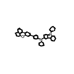 c1ccc(N(c2ccc(-c3ccc4c(c3)Oc3cccc5cccc-4c35)cc2)c2ccc3c(c2)c2ccccc2n3-c2ccccc2)cc1